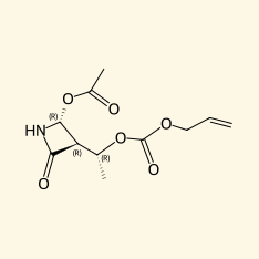 C=CCOC(=O)O[C@H](C)[C@H]1C(=O)N[C@@H]1OC(C)=O